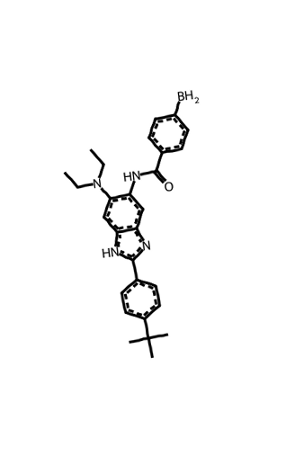 Bc1ccc(C(=O)Nc2cc3nc(-c4ccc(C(C)(C)C)cc4)[nH]c3cc2N(CC)CC)cc1